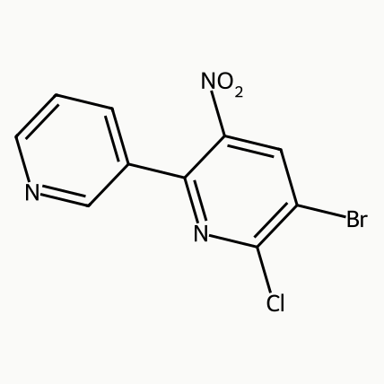 O=[N+]([O-])c1cc(Br)c(Cl)nc1-c1cccnc1